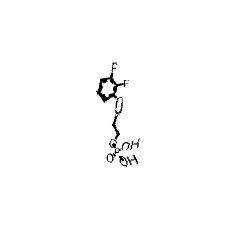 O=P(O)(O)OCCOc1cccc(F)c1F